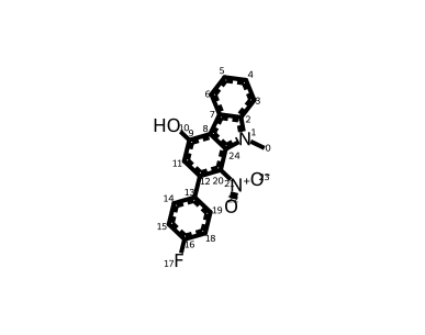 Cn1c2ccccc2c2c(O)cc(-c3ccc(F)cc3)c([N+](=O)[O-])c21